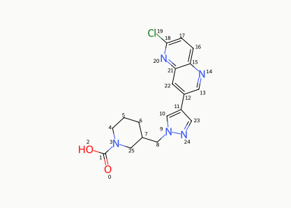 O=C(O)N1CCCC(Cn2cc(-c3cnc4ccc(Cl)nc4c3)cn2)C1